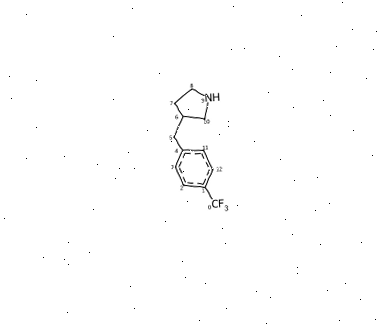 FC(F)(F)c1ccc(CC2CCNC2)cc1